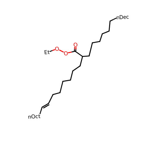 CCCCCCCCC=CCCCCCCC(CCCCCCCCCCCCCCCC)C(=O)OOCC